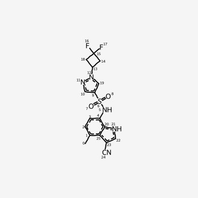 Cc1ccc(NS(=O)(=O)c2cnn(C3CC(F)(F)C3)c2)c2[nH]cc(C#N)c12